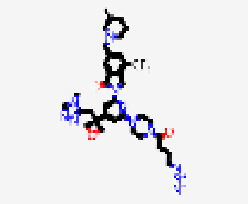 C[C@H]1CCCN(Cc2cc3c(c(C(F)(F)F)c2)CN(c2cc(C4(Cc5nncn5C)COC4)cc(N4CCN(C(=O)CCCN=[N+]=[N-])CC4)n2)C3=O)C1